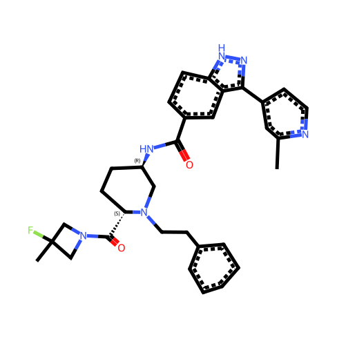 Cc1cc(-c2n[nH]c3ccc(C(=O)N[C@@H]4CC[C@@H](C(=O)N5CC(C)(F)C5)N(CCc5ccccc5)C4)cc23)ccn1